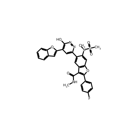 CNC(=O)c1c(-c2ccc(F)cc2)oc2cc(N(C)S(C)(=O)=O)c(-c3cc(-c4cc5ccccc5o4)c(O)nn3)cc12